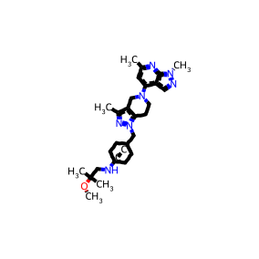 COC(C)(C)CNC12CCC(Cn3nc(C)c4c3CCN(c3cc(C)nc5c3cnn5C)C4)(CC1)CC2